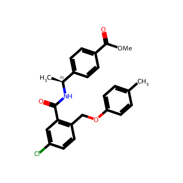 COC(=O)c1ccc([C@H](C)NC(=O)c2cc(Cl)ccc2COc2ccc(C)cc2)cc1